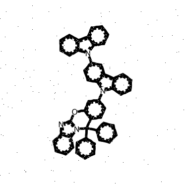 c1ccc(C2(c3ccccc3)c3ccc(-n4c5ccccc5c5cc(-n6c7ccccc7c7ccccc76)ccc54)cc3Oc3nc4ccccc4n32)cc1